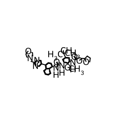 COc1c(NC(=O)Nc2ccc(-c3cnc(CN4CCOCC4)nc3)c3ccccc23)cc(C(C)(C)C)cc1NC(=O)OCC1CCCO1